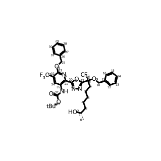 C[C@H](O)CCCCC[C@@](OCc1ccccc1)(c1nnc(-c2nc(OCc3ccccc3)c(C(F)(F)F)cc2NC(=O)OC(C)(C)C)o1)C(F)(F)F